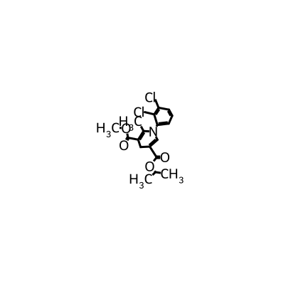 COC(=O)C1=C(C)N(c2cccc(Cl)c2Cl)C=C(C(=O)OC(C)C)C1